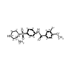 COc1ccc(C(=O)Nc2ccc(S(=O)(=O)N3CCNC[C@H]3N)cc2)cc1I